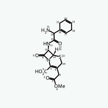 COC(=O)CC1=C(C(=O)O)N2C(=O)[C@@H](NC(=O)C(N)C3=CCC=CC3)[C@@H]2SC1